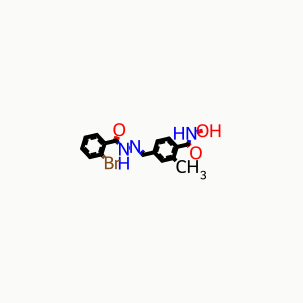 Cc1cc(C=NNC(=O)c2ccccc2Br)ccc1C(=O)NO